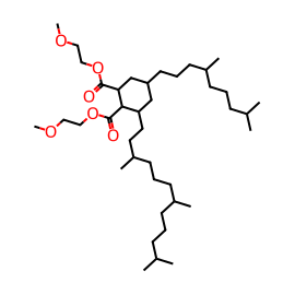 COCCOC(=O)C1CC(CCCC(C)CCCC(C)C)CC(CCC(C)CCCC(C)CCCC(C)C)C1C(=O)OCCOC